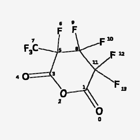 O=C1OC(=O)C(F)(C(F)(F)F)C(F)(F)C1(F)F